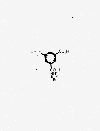 CC(C)(C)N.O=C(O)c1cc(C(=O)O)cc(C(=O)O)c1